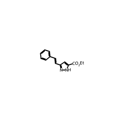 CCOC(=O)c1cc(C=Cc2ccccc2)n[nH]1